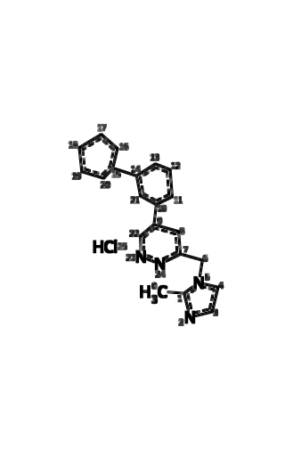 Cc1nccn1Cc1cc(-c2cccc(-c3ccccc3)c2)cnn1.Cl